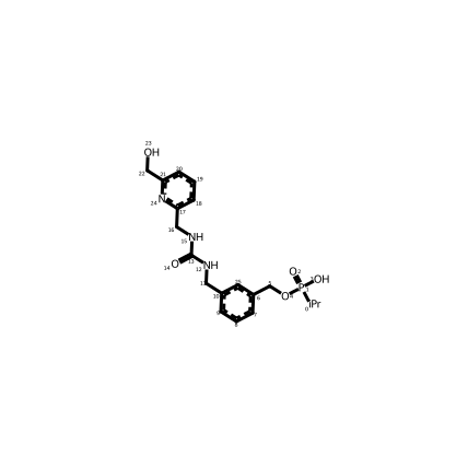 CC(C)P(=O)(O)OCc1cccc(CNC(=O)NCc2cccc(CO)n2)c1